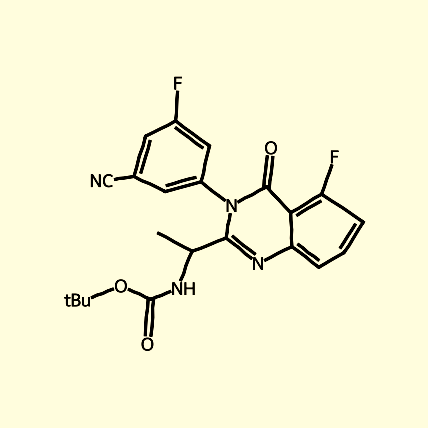 CC(NC(=O)OC(C)(C)C)c1nc2cccc(F)c2c(=O)n1-c1cc(F)cc(C#N)c1